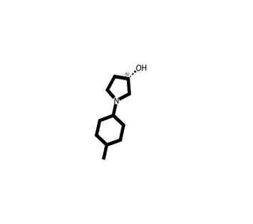 CC1CCC(N2CC[C@H](O)C2)CC1